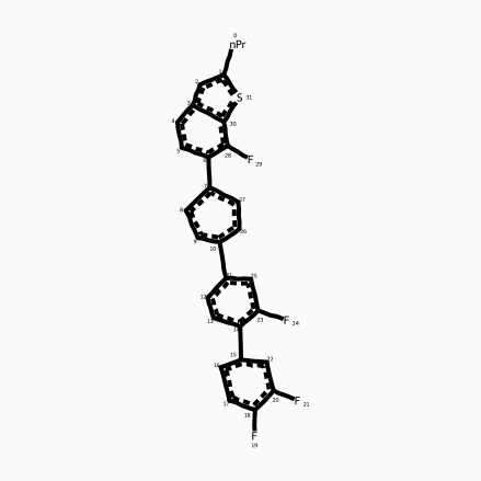 CCCc1cc2ccc(-c3ccc(-c4ccc(-c5ccc(F)c(F)c5)c(F)c4)cc3)c(F)c2s1